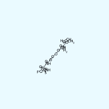 CC(C)(C)OC(=O)CC[C@H](N)C(=O)NCCOCCOCCOCCOCCC(=O)NCCCn1c(=O)c2cc(F)ccc2n2c(=S)[nH]nc12